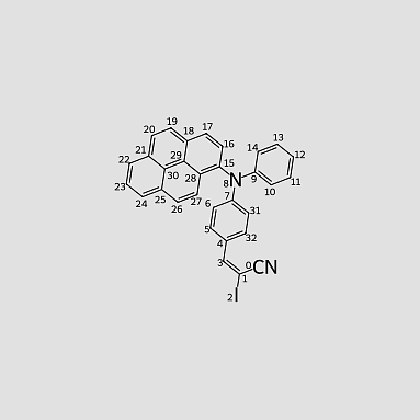 N#C/C(I)=C\c1ccc(N(c2ccccc2)c2ccc3ccc4cccc5ccc2c3c45)cc1